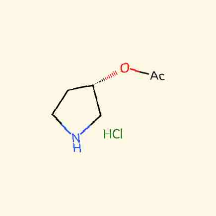 CC(=O)O[C@H]1CCNC1.Cl